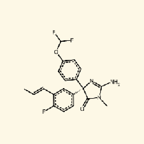 C/C=C/c1cc([C@]2(c3ccc(OC(F)F)cc3)N=C(N)N(C)C2=O)ccc1F